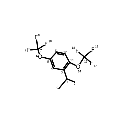 CC(C)c1cc(OC(F)(F)F)ccc1OC(F)(F)F